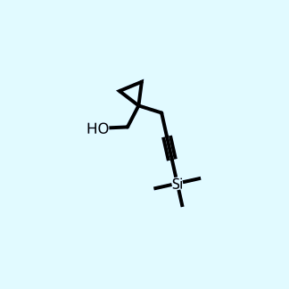 C[Si](C)(C)C#CCC1(CO)CC1